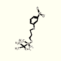 CC(C)(C)[Si](C)(C)OCCCSc1cccc([N+](=O)[O-])c1